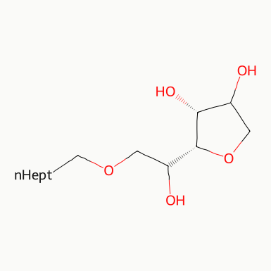 CCCCCCCCOCC(O)[C@H]1OCC(O)[C@H]1O